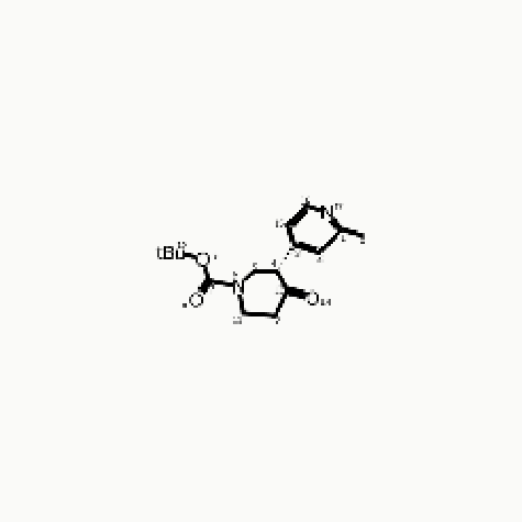 Cc1cc([C@H]2CN(C(=O)OC(C)(C)C)CCC2=O)ccn1